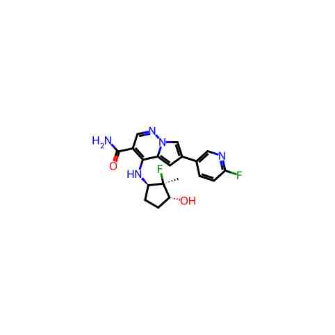 C[C@]1(F)[C@H](O)CC[C@H]1Nc1c(C(N)=O)cnn2cc(-c3ccc(F)nc3)cc12